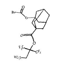 CCC(C)C(=O)OC12CC3CC(C1)CC(C(=O)OC(CS(=O)(=O)O)(C(F)(F)F)C(F)(F)F)(C3)C2